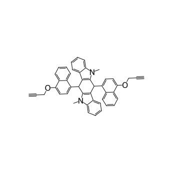 C#CCOc1ccc(C2c3c(n(C)c4ccccc34)C(c3ccc(OCC#C)c4ccccc34)c3c2n(C)c2ccccc32)c2ccccc12